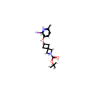 Cc1ccc(OC2CC3(C2)CN(C(=O)OC(C)(C)C)C3)c(I)n1